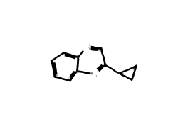 [c]1ccc2ncc(C3CC3)nc2c1